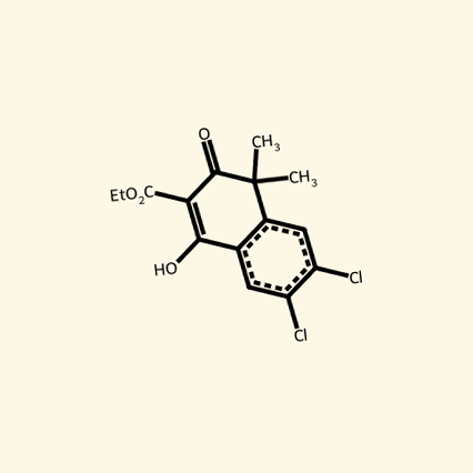 CCOC(=O)C1=C(O)c2cc(Cl)c(Cl)cc2C(C)(C)C1=O